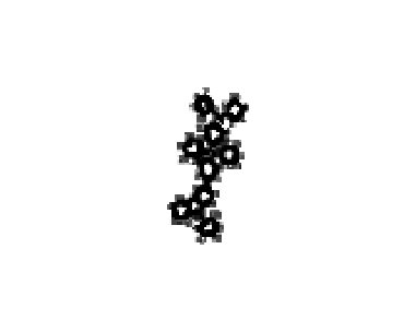 c1ccc(N(c2ccccc2)c2ccc([Si](c3ccccc3)(c3ccccc3)c3ccc(-c4ccc5c(c4)c4ccccc4n5-c4ccccc4)cc3)cc2)cc1